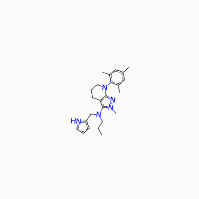 CCCN(Cc1ccc[nH]1)c1c2c(nn1C)N(c1c(C)cc(C)cc1C)CCC2